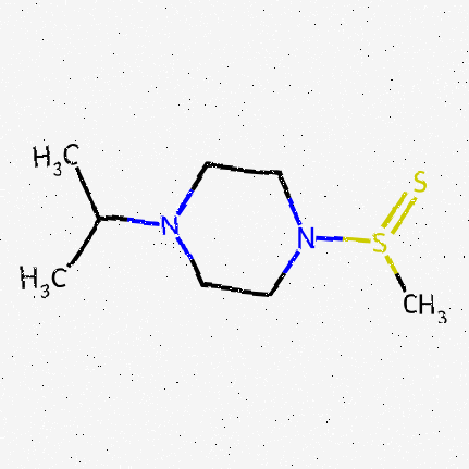 CC(C)N1CCN(S(C)=S)CC1